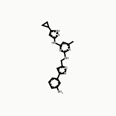 Bc1cccc(-c2cc(CNc3nc(C)cc(Nc4cc(C5CC5)[nH]n4)n3)on2)c1